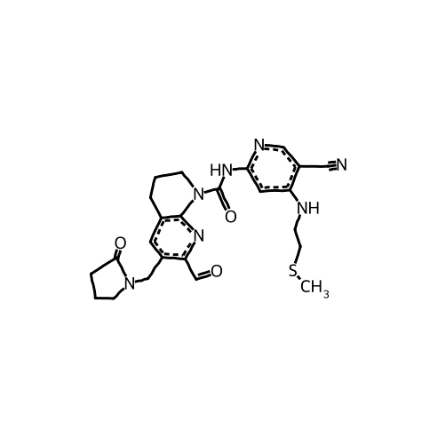 CSCCNc1cc(NC(=O)N2CCCc3cc(CN4CCCC4=O)c(C=O)nc32)ncc1C#N